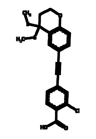 CSC1(SC)CCOc2ccc(C#Cc3ccc(C(=O)O)c(Cl)c3)cc21